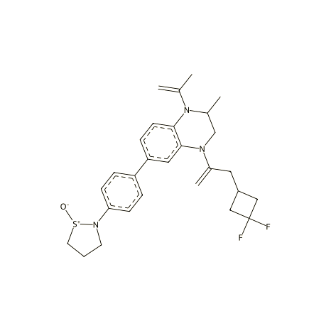 C=C(CC1CC(F)(F)C1)N1CC(C)N(C(=C)C)c2ccc(-c3ccc(N4CCC[S+]4[O-])cc3)cc21